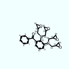 O=C(c1ccccc1)c1cccc(N(CC2CO2)CC2CO2)c1N(CC1CO1)CC1CO1